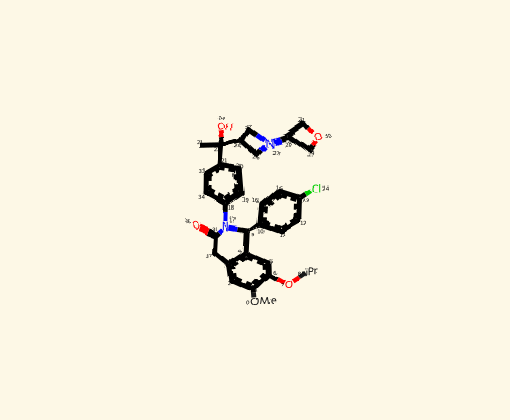 COc1cc2c(cc1OC(C)C)[C@H](c1ccc(Cl)cc1)N(c1ccc(C(C)(O)C3CN(C4COC4)C3)cc1)C(=O)C2